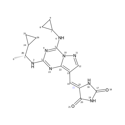 C[C@@H](Nc1nc(NC2CC2)n2ncc(/C=C3\NC(=O)NC3=O)c2n1)C1CC1